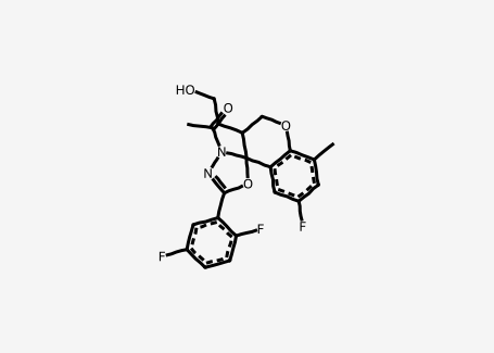 CC(=O)N1N=C(c2cc(F)ccc2F)OC12c1cc(F)cc(C)c1OCC2CCO